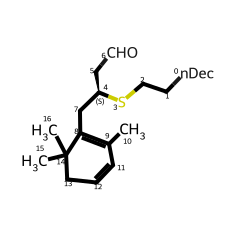 CCCCCCCCCCCCS[C@H](CC=O)CC1=C(C)C=CCC1(C)C